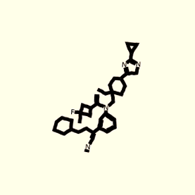 C=N/C=C(\CCC1CCCCC1)c1cccc(N(CC2(CC)CCC(C3=NC(C4CC4)=NC3)CC2)C(=C)C2CC(C)(F)C2)c1